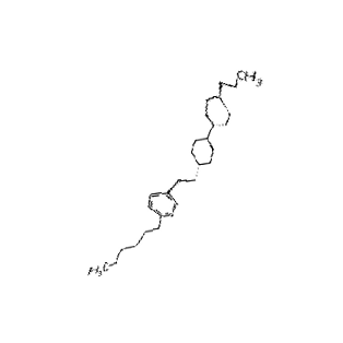 CCCCCCc1ccc(CC[C@H]2CC[C@H]([C@H]3CC[C@H](CCC)CC3)CC2)cc1